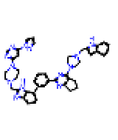 c1cc(-c2nc3c(c(N4CCN(Cc5cc6ccccc6[nH]5)CC4)n2)CCC3)cc(-c2cccc3nc(CN4CCN(c5cc(-n6cccn6)ncn5)CC4)[nH]c23)c1